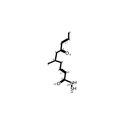 C/C=C/C(=O)CC(C)C/C=C/C(=O)NS